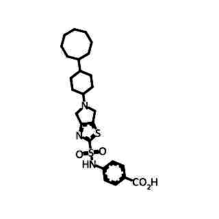 O=C(O)c1ccc(NS(=O)(=O)c2nc3c(s2)CN(C2CCC(C4CCCCCCC4)CC2)C3)cc1